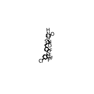 O=C1CN(C2=NC(=O)/C(=C\c3ccc(Oc4ccc(Cl)cc4C(F)(F)F)c(F)c3)S2)CCN1